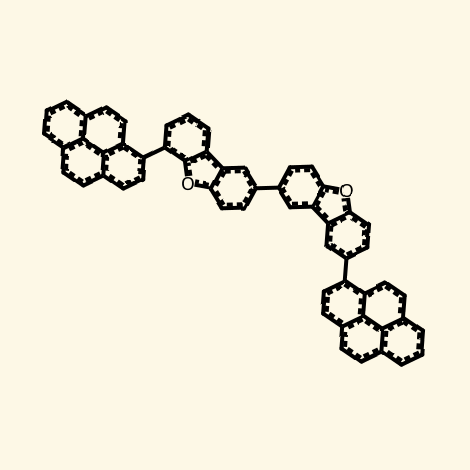 c1cc2ccc3ccc(-c4ccc5oc6ccc(-c7ccc8oc9c(-c%10ccc%11ccc%12cccc%13ccc%10c%11c%12%13)cccc9c8c7)cc6c5c4)c4ccc(c1)c2c34